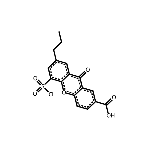 CCCc1cc(S(=O)(=O)Cl)c2oc3ccc(C(=O)O)cc3c(=O)c2c1